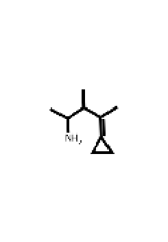 CC(=C1CC1)C(C)C(C)N